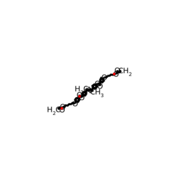 C=CC(=O)OCCCCCCOc1ccc(C(=O)Oc2ccc(/C(C)=N/N=C(\C)c3ccc(OC(=O)c4ccc(OCCCCCCOC(=O)C=C)cc4)cc3)cc2)cc1